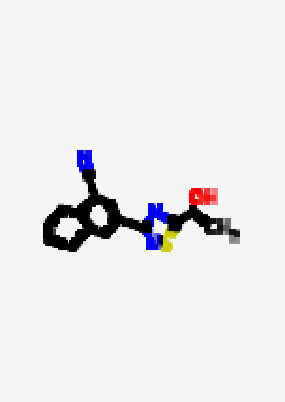 C=C(O)c1nc(-c2cc(C#N)c3ccccc3c2)ns1